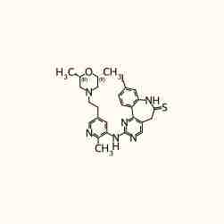 Cc1ncc(CCN2C[C@@H](C)O[C@H](C)C2)cc1Nc1ncc2c(n1)-c1ccc(I)cc1NC(=S)C2